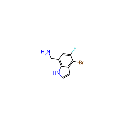 NCc1cc(F)c(Br)c2cc[nH]c12